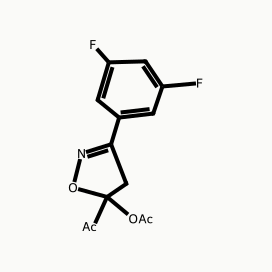 CC(=O)OC1(C(C)=O)CC(c2cc(F)cc(F)c2)=NO1